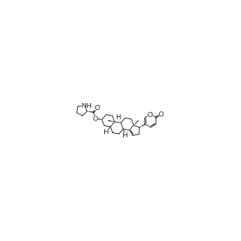 C[C@]12CC[C@H](OC(=O)[C@H]3CCCN3)C[C@H]1CC[C@H]1C3=CC[C@H](c4ccc(=O)oc4)[C@@]3(C)CC[C@@H]12